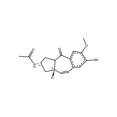 COc1cc2c(cc1O)N=C[C@@H]1C[C@H](NC(C)=O)CN1C2=O